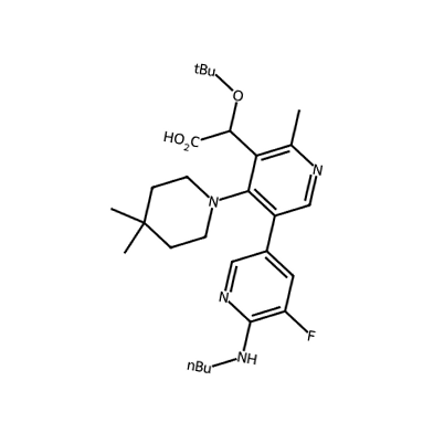 CCCCNc1ncc(-c2cnc(C)c(C(OC(C)(C)C)C(=O)O)c2N2CCC(C)(C)CC2)cc1F